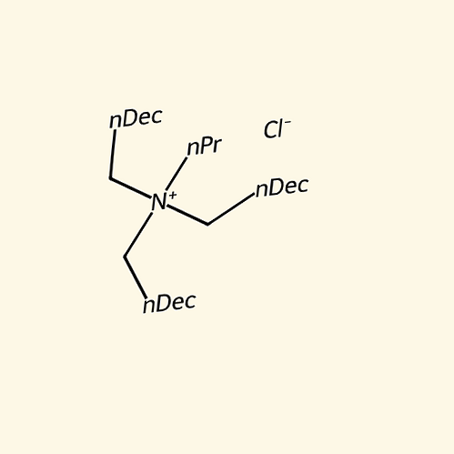 CCCCCCCCCCC[N+](CCC)(CCCCCCCCCCC)CCCCCCCCCCC.[Cl-]